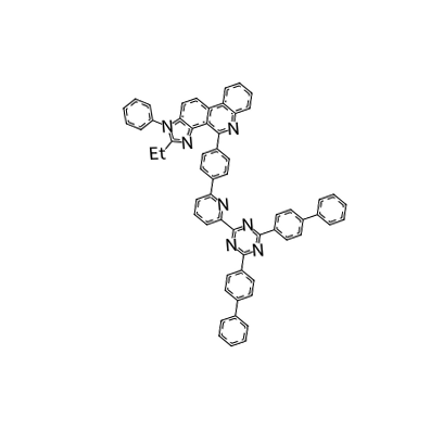 CCc1nc2c3c(-c4ccc(-c5cccc(-c6nc(-c7ccc(-c8ccccc8)cc7)nc(-c7ccc(-c8ccccc8)cc7)n6)n5)cc4)nc4ccccc4c3ccc2n1-c1ccccc1